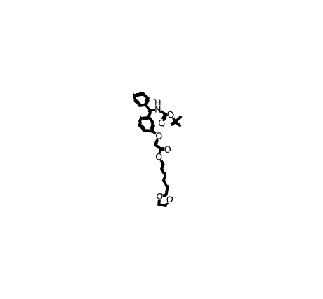 CC(C)(C)OC(=O)NC(c1ccccc1)c1cccc(OCC(=O)OCCCCCC2OCCO2)c1